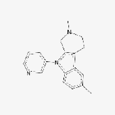 Cc1ccc2c(c1)c1c(n2-c2cccnc2)CN(C)CC1